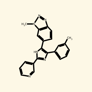 Cc1cccc(-c2nc(-c3cccnc3)[nH]c2-c2ccc3nnn(C)c3c2)c1